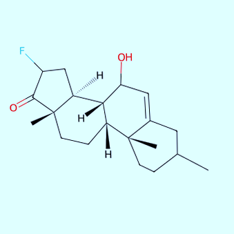 CC1CC[C@@]2(C)C(=CC(O)[C@@H]3[C@H]2CC[C@]2(C)C(=O)C(F)C[C@@H]32)C1